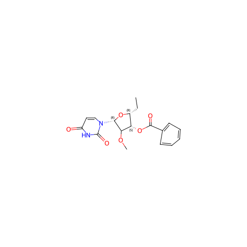 CC[C@H]1O[C@@H](n2ccc(=O)[nH]c2=O)C(OC)[C@H]1OC(=O)c1ccccc1